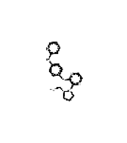 OC[C@@H]1CCCN1c1nccnc1Oc1ccc(Nc2ccccn2)cc1